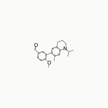 COc1ccc(C=O)cc1-c1cc2c(cc1C)N(C(C)C)CCC2